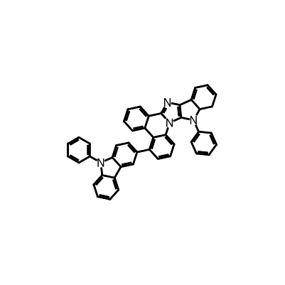 C1=CCC2C(=C1)c1nc3c4ccccc4c4c(-c5ccc6c(c5)c5ccccc5n6-c5ccccc5)cccc4n3c1N2c1ccccc1